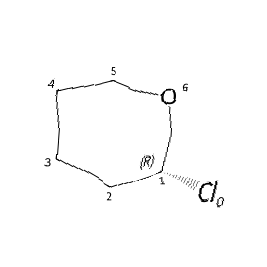 Cl[C@@H]1CCCCO1